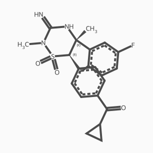 CN1C(=N)N[C@](C)(c2cc(F)ccc2F)[C@@H](c2ccc(C(=O)C3CC3)cc2)S1(=O)=O